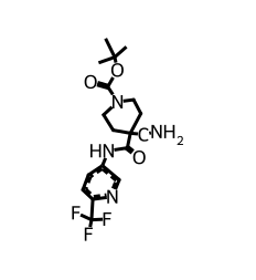 CC(C)(C)OC(=O)N1CCC(CN)(C(=O)Nc2ccc(C(F)(F)F)nc2)CC1